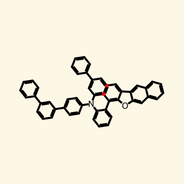 c1ccc(-c2cccc(-c3ccc(N(c4cccc(-c5ccccc5)c4)c4ccccc4-c4cccc5c4oc4cc6ccccc6cc45)cc3)c2)cc1